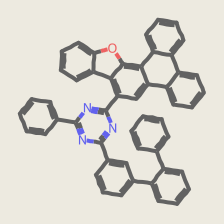 c1ccc(-c2nc(-c3cccc(-c4ccccc4-c4ccccc4)c3)nc(-c3cc4c5ccccc5c5ccccc5c4c4oc5ccccc5c34)n2)cc1